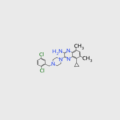 Cc1cc(C)c2nc(N)c(N3CCN(Cc4cc(Cl)ccc4Cl)CC3)nc2c1C1CC1